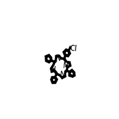 ClCc1ccc(C2=C3C=CC(=N3)C(c3ccccc3)=C3C=CC(=N3)C(c3ccccc3)=C3C=CC(=N3)C(c3ccccc3)=C3C=CC2=N3)cc1